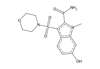 Cn1c(C(N)=O)c(S(=O)(=O)N2CCOCC2)c2ccc(O)cc21